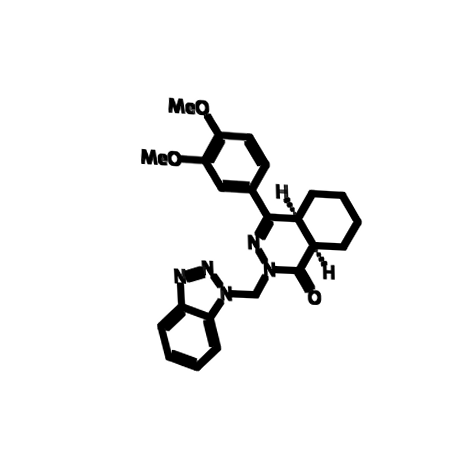 COc1ccc(C2=NN(Cn3nnc4ccccc43)C(=O)[C@@H]3CCCC[C@H]23)cc1OC